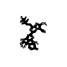 Cc1nc2c(CCC(F)(F)C(F)(F)F)nc(-c3nc(N)c4c(n3)NC(=O)C4(C)c3ccc(F)cc3)cn2c1C#N